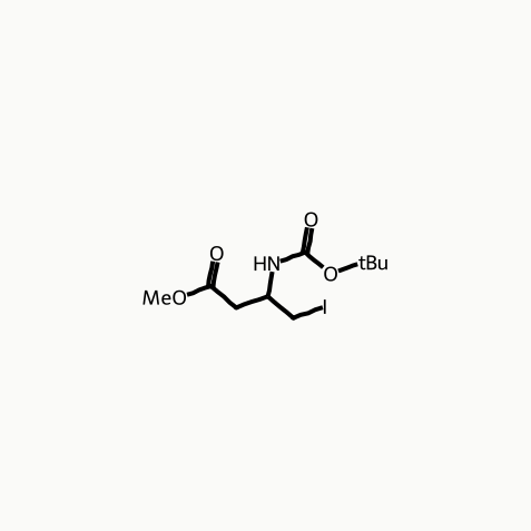 COC(=O)CC(CI)NC(=O)OC(C)(C)C